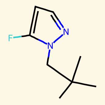 CC(C)(C)Cn1nccc1F